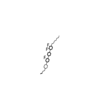 C=CCCC1CCC(c2ccc(-c3ccc(-c4ccc(CCCCCCC)c(F)c4F)cc3)c(F)c2)CC1